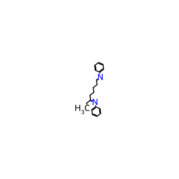 CCC(CCCCC=Nc1ccccc1)=Nc1ccccc1